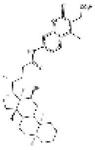 Cc1c(CC(=O)O)c(=O)oc2cc(NC(=O)CC[C@@H](C)[C@H]3CC[C@H]4C5CC[C@@H]6CCCC[C@]6(C)C5C[C@H](O)[C@]34C)ccc12